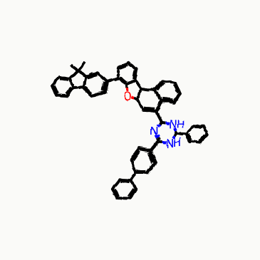 CC1(C)c2ccccc2-c2ccc(-c3cccc4c3OC3C=C(C5N=C(c6ccc(-c7ccccc7)cc6)NC(c6ccccc6)N5)c5ccccc5C43)cc21